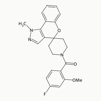 COc1cc(F)ccc1C(=O)N1CCC2(CC1)Oc1ccccc1-c1c2cnn1C